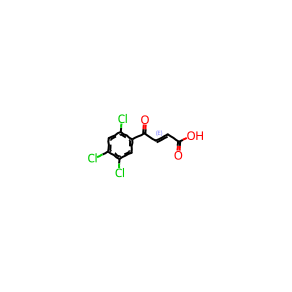 O=C(O)/C=C/C(=O)c1cc(Cl)c(Cl)cc1Cl